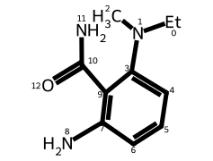 CCN(C)c1cccc(N)c1C(N)=O